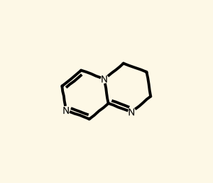 C1=CN2CCCN=C2C=N1